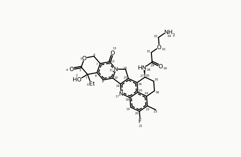 CCC1(O)C(=O)OCc2c1cc1n(c2=O)Cc2c-1nc1cc(F)c(C)c3c1c2[C@@H](NC(=O)COCN)CC3